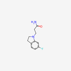 NC(=O)CCN1CCc2ccc(F)cc21